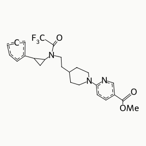 COC(=O)c1ccc(N2CCC(CCN(C(=O)C(F)(F)F)C3CC3c3ccccc3)CC2)nc1